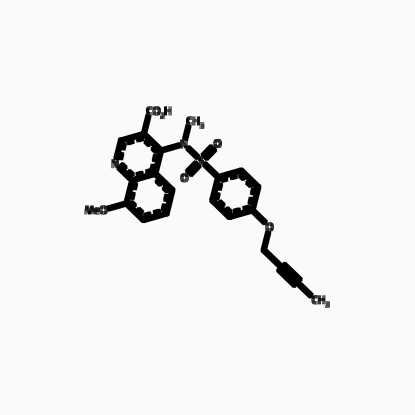 CC#CCOc1ccc(S(=O)(=O)N(C)c2c(C(=O)O)cnc3c(OC)cccc23)cc1